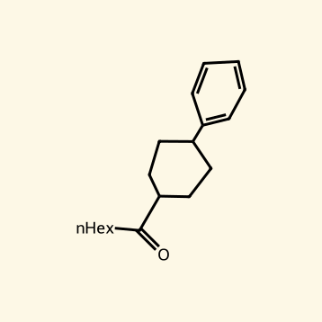 CCCCCCC(=O)C1CCC(c2ccccc2)CC1